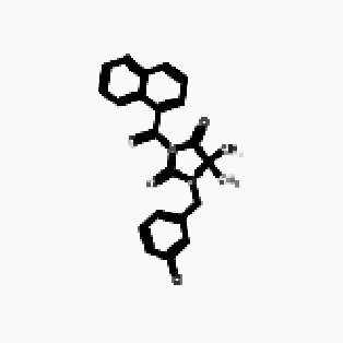 CC1(C)C(=O)N(C(=O)c2cccc3ccccc23)C(=O)N1Cc1cccc(Cl)c1